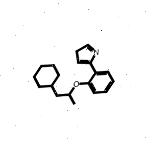 CC(CC1CCCCC1)Oc1ccccc1C1=CCC=N1